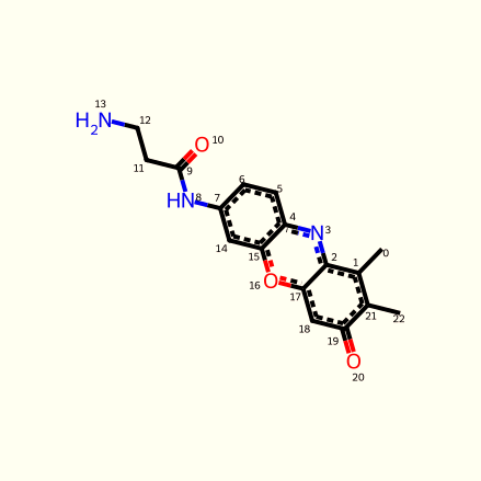 Cc1c2nc3ccc(NC(=O)CCN)cc3oc-2cc(=O)c1C